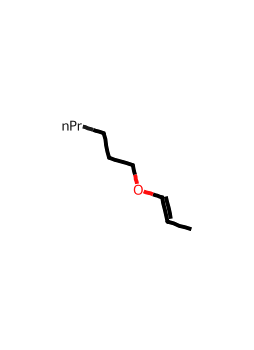 CC=COCCCCCC